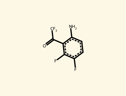 Nc1ccc(F)c(F)c1C(=O)C(F)(F)F